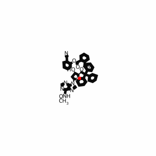 CONc1ncnc2c1ncn2[C@H]1C[C@H](O)[C@@H](C(OC(=O)c2ccccc2C(=O)Oc2ccccc2C#N)C(c2ccccc2)(c2ccccc2)c2ccccc2)O1